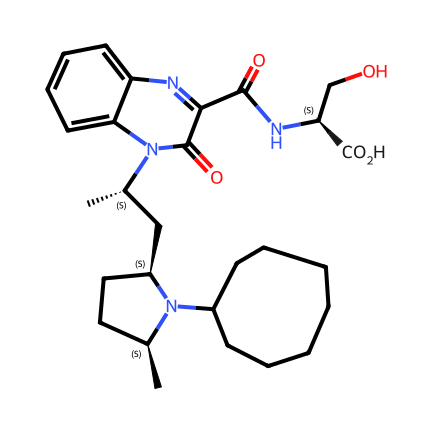 C[C@H]1CC[C@@H](C[C@H](C)n2c(=O)c(C(=O)N[C@@H](CO)C(=O)O)nc3ccccc32)N1C1CCCCCCC1